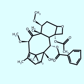 CO[C@H]1C(=O)[C@@]2(C)C([C@H](OC(=O)c3ccccc3)[C@]3(O)CCC(C)=C1C3(C)C)[C@]1(OC(C)=O)COC1C[C@@H]2OC